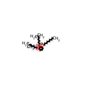 CCCCCCCCCOc1cccc(OC(=O)CCCCC(C)C)c1OC(=O)CCCCC(C)C